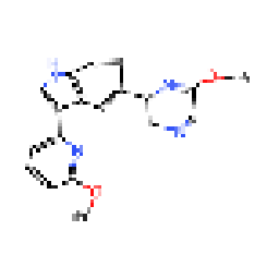 CC(C)Oc1cncc(-c2ccc3[nH]cc(-c4cccc(OC(C)C)n4)c3c2)n1